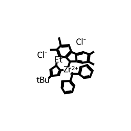 CCC1C=C(C(C)(C)C)C=[C]1[Zr+2](=[C](c1ccccc1)c1ccccc1)[CH]1c2cc(C)c(C)cc2-c2cc(C)c(C)cc21.[Cl-].[Cl-]